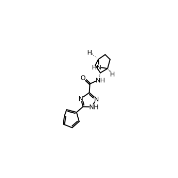 O=C(N[C@@H]1C[C@H]2CC[C@@H]1N2)c1n[nH]c(-c2ccccc2)n1